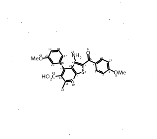 COc1ccc(C(=O)c2sc3nc(C)c(C(=O)O)c(-c4cccc(OC)c4)c3c2N)cc1